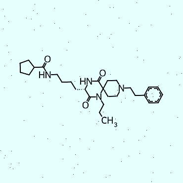 CCCN1C(=O)[C@H](CCCCNC(=O)C2CCCC2)NC(=O)C12CCN(CCc1ccccc1)CC2